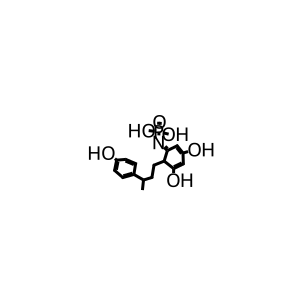 CC(CCC1C(O)=CC(O)=C/C1=N\P(=O)(O)O)c1ccc(O)cc1